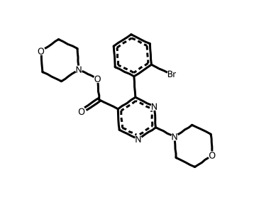 O=C(ON1CCOCC1)c1cnc(N2CCOCC2)nc1-c1ccccc1Br